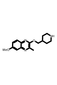 COc1ccc2nc(OCC3CCNCC3)c(C)nc2c1